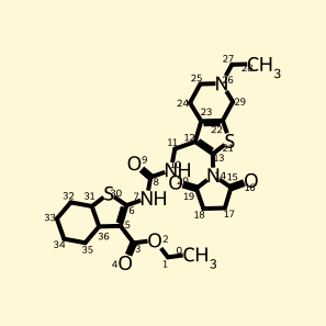 CCOC(=O)C1=C(NC(=O)NCc2c(N3C(=O)CCC3=O)sc3c2CCN(CC)C3)SC2CCCCC12